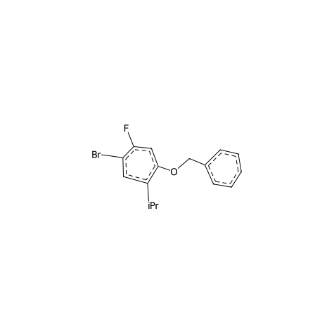 CC(C)c1cc(Br)c(F)cc1OCc1ccccc1